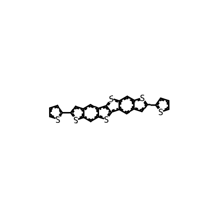 c1csc(-c2cc3cc4c(cc3s2)sc2c3cc5cc(-c6cccs6)sc5cc3sc42)c1